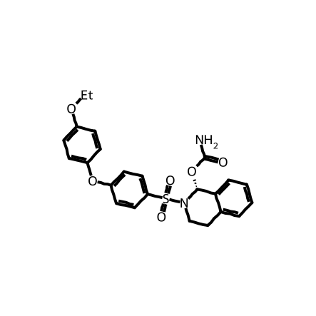 CCOc1ccc(Oc2ccc(S(=O)(=O)N3CCc4ccccc4[C@H]3OC(N)=O)cc2)cc1